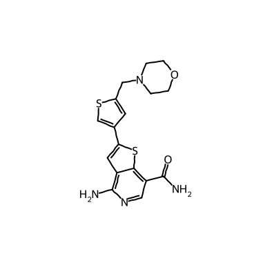 NC(=O)c1cnc(N)c2cc(-c3csc(CN4CCOCC4)c3)sc12